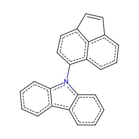 C1=Cc2ccc(-n3c4ccccc4c4ccccc43)c3cccc1c23